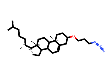 CC(C)CCC[C@@H](C)[C@H]1CCC2C3CC=C4CC(OCCCN=[N+]=[N-])CC[C@]4(C)C3CC[C@@]21C